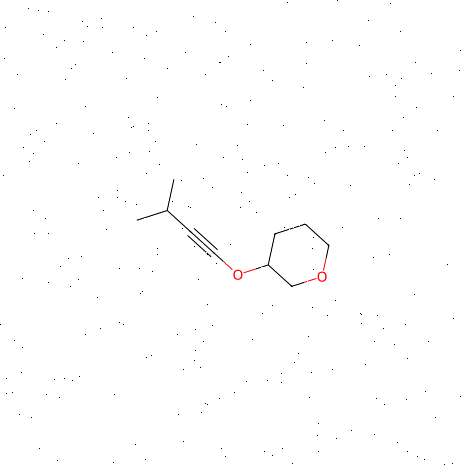 CC(C)C#COC1CCCOC1